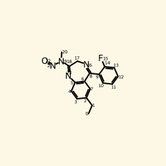 CCc1ccc2c(c1)C(c1ccccc1F)=NCC(N(C)N=O)=N2